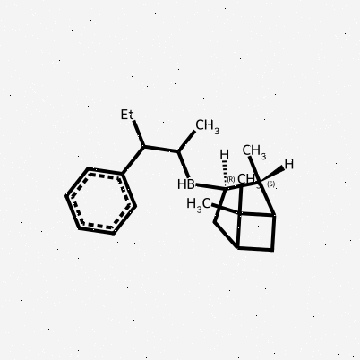 CCC(c1ccccc1)C(C)B[C@@H]1CC2CC([C@H]1C)C2(C)C